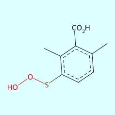 Cc1ccc(SOO)c(C)c1C(=O)O